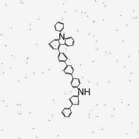 c1ccc(-c2ccc(Nc3ccc(-c4ccc(-c5ccc(-c6cccc7c6c6ccccc6n7-c6ccccc6)cc5)cc4)cc3)cc2)cc1